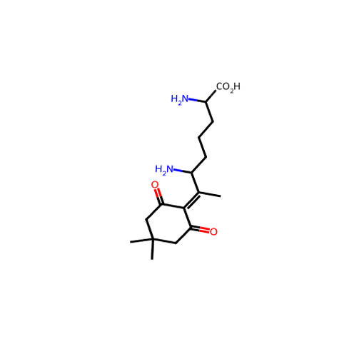 CC(=C1C(=O)CC(C)(C)CC1=O)C(N)CCCC(N)C(=O)O